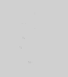 CC(C)(CCl)c1nnc(N)s1